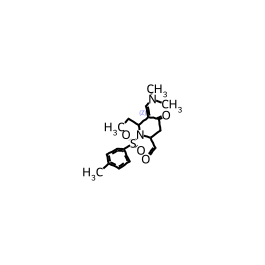 CCC1/C(=C/N(C)C)C(=O)CC(C=O)N1S(=O)(=O)c1ccc(C)cc1